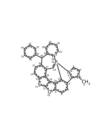 Cn1cc[n+]2c1-c1ccc3oc4sc5ccc6c7c5c4c3c1P2(=C7)[n+]1ccccc1C6c1ccccc1